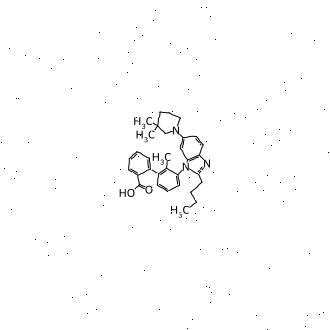 CCCCc1nc2ccc(N3CCCC(C)(C)C3)cc2n1-c1cccc(-c2ccccc2C(=O)O)c1C